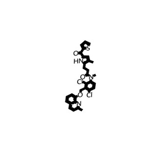 Cc1ccc2cccc(OCc3c(Cl)ccc(N(C)C(=O)CCc4[nH]c(C(=O)c5cccs5)cc4C)c3Cl)c2n1